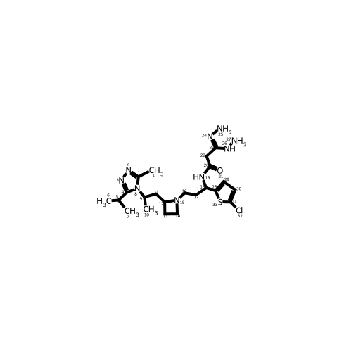 Cc1nnc(C(C)C)n1C(C)CC1CCN1CCC(NC(=O)C/C(=N/N)NN)c1ccc(Cl)s1